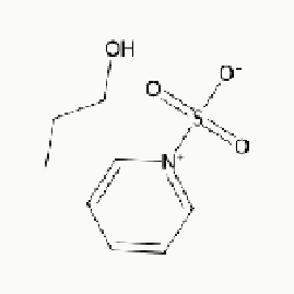 CCCO.O=S(=O)([O-])[n+]1ccccc1